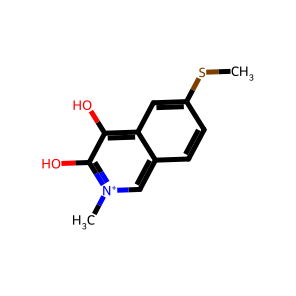 CSc1ccc2c[n+](C)c(O)c(O)c2c1